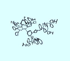 CC1(C)C2=C(F)C(=O)C(Cl)=CC2=C(c2ccc(N(CC(=O)O)CC(=O)O)c(OCCOCCN(CC(=O)O)CC(=O)O)c2)c2cc(Cl)c(O)c(F)c21